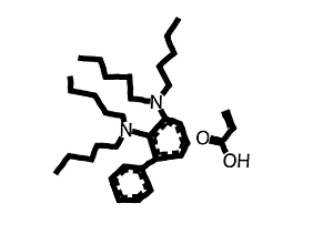 C=CC(=O)O.CCCCCN(CCCCC)c1cccc(-c2ccccc2)c1N(CCCCC)CCCCC